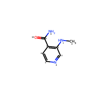 CNc1cnccc1C(N)=O